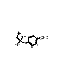 CCC(CC)(CN)Oc1ccc(C=O)cc1